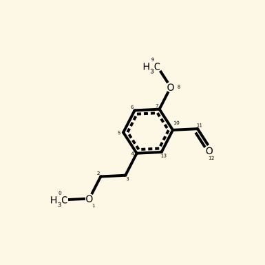 COCCc1ccc(OC)c(C=O)c1